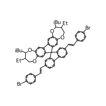 CCC(C)C1Oc2cc3c(cc2OCC1CC)C1(c2cc(/C=C/c4ccc(Br)cc4)ccc2-c2ccc(/C=C/c4ccc(Br)cc4)cc21)c1cc2c(cc1-3)OC(C(C)CC)C(CC)CO2